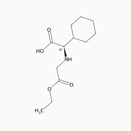 CCOC(=O)CN[C@@H](C(=O)O)C1CCCCC1